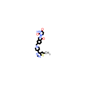 Cc1cc2c(C3=CCN(Cc4ccc5c(c4)CN(N4CCC(=O)NC4=O)C5=O)CC3)ncnc2s1